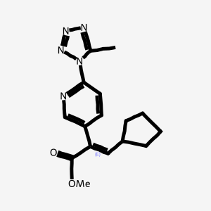 COC(=O)/C(=C/C1CCCC1)c1ccc(-n2nnnc2C)nc1